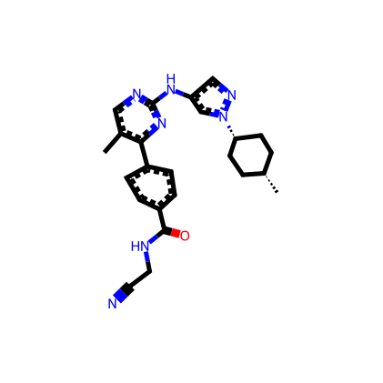 Cc1cnc(Nc2cnn([C@H]3CC[C@@H](C)CC3)c2)nc1-c1ccc(C(=O)NCC#N)cc1